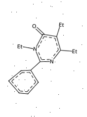 CCc1nc(-c2ccccc2)n(CC)c(=O)c1CC